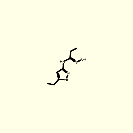 CCC(=NO)Nc1cc(CC)[nH]n1